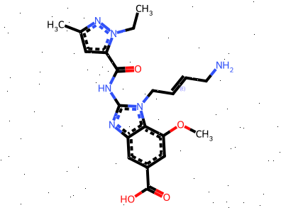 CCn1nc(C)cc1C(=O)Nc1nc2cc(C(=O)O)cc(OC)c2n1C/C=C/CN